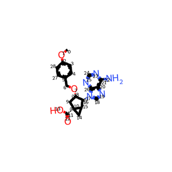 COc1ccc(CO[C@H]2C[C@]3(C(=O)O)CC3[C@H]2n2cnc3c(N)ncnc32)cc1